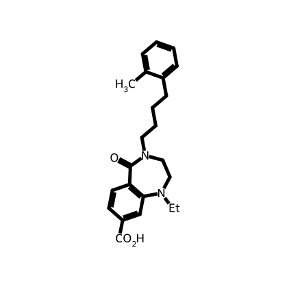 CCN1CCN(CCCCc2ccccc2C)C(=O)c2ccc(C(=O)O)cc21